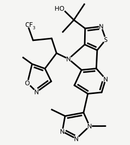 Cc1nnn(C)c1-c1cnc2c3snc(C(C)(C)O)c3n(C(CCC(F)(F)F)c3cnoc3C)c2c1